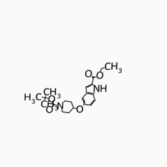 CCOC(=O)c1cc2cc(OC3CCN(C(=O)OC(C)(C)C)CC3)ccc2[nH]1